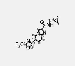 O=C(NCC1CC1)c1cn2cc(-c3noc(C(F)(F)F)n3)ccc2n1